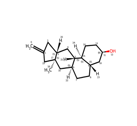 C=C1C[C@@H]2C[C@H]3[C@@H](CC[C@H]4C[C@H](O)CC[C@@H]43)C[C@@]2(C)C1